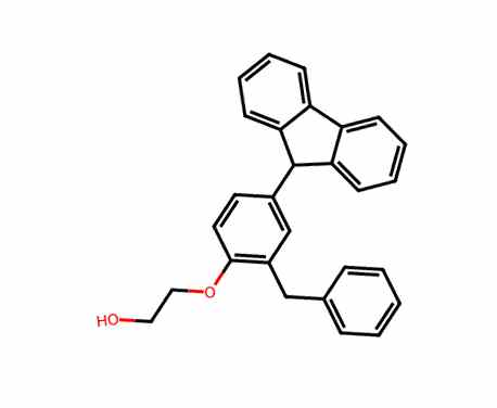 OCCOc1ccc(C2c3ccccc3-c3ccccc32)cc1Cc1ccccc1